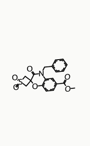 COC(=O)c1ccc2c(c1)N(Cc1ccccc1)C(=O)C1(CS(=O)(=O)C1)O2